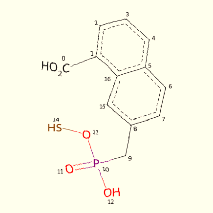 O=C(O)c1cccc2ccc(CP(=O)(O)OS)cc12